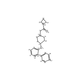 O=C(CN1CCC(Oc2cccnc2-c2ccncc2)CC1)N1CCC1